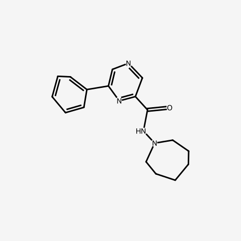 O=C(NN1CCCCCC1)c1cncc(-c2ccccc2)n1